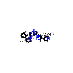 COc1cnccc1-c1cnn(-c2cnn3ccc(N4CCC[C@@H]4c4cc(F)ccc4F)nc23)c1